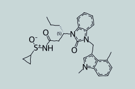 CCC[C@@H](CC(=O)N[S+]([O-])C1CC1)n1c(=O)n(Cc2cn(C)c3cccc(C)c23)c2ccccc21